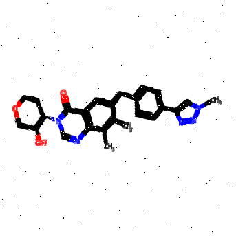 Cc1c(Cc2ccc(-c3cn(C)nn3)cc2)cc2c(=O)n([C@H]3CCOC[C@@H]3O)cnc2c1C